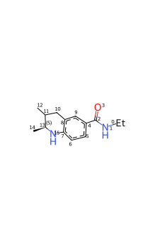 CCNC(=O)c1ccc2c(c1)CC(C)[C@H](C)N2